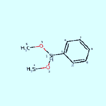 CO[SiH](O[SiH3])c1ccccc1